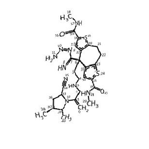 C=C(CNCCC1(C(=N)/N=N\N)c2cc(C(=O)NC)sc2CCc2sc(C(=O)NC)cc21)N1C(C#N)C[C@H](C)C1C